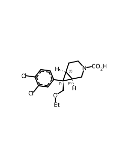 CCOC[C@]1(c2ccc(Cl)c(Cl)c2)[C@@H]2CN(C(=O)O)CC[C@@H]21